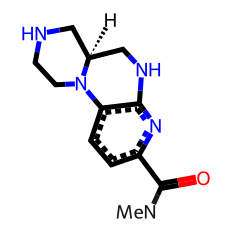 CNC(=O)c1ccc2c(n1)NC[C@@H]1CNCCN21